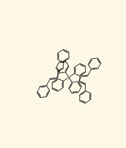 C(=C\c1ccccc1[Si](c1ccccc1/C=C/c1ccccc1)(c1ccccc1/C=C/c1ccccc1)c1ccccc1/C=C/c1ccccc1)/c1ccccc1